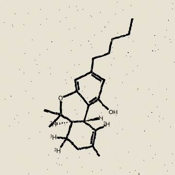 [2H]C1=C(C)CC([2H])([2H])[C@]2([2H])[C@@H]1c1c(O)cc(CCCCC)cc1OC2(C)C